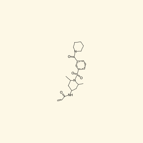 C=CC(=O)NC1CC(C)N(S(=O)(=O)c2cccc(C(=O)N3CCCCC3)c2)C(C)C1